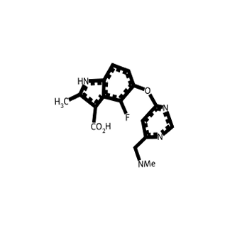 CNCc1cc(Oc2ccc3[nH]c(C)c(C(=O)O)c3c2F)ncn1